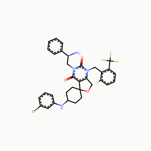 N[C@@H](Cn1c(=O)c2c(n(Cc3c(F)cccc3C(F)(F)F)c1=O)COC21CCC(Nc2cccc(Cl)c2)CC1)c1ccccc1